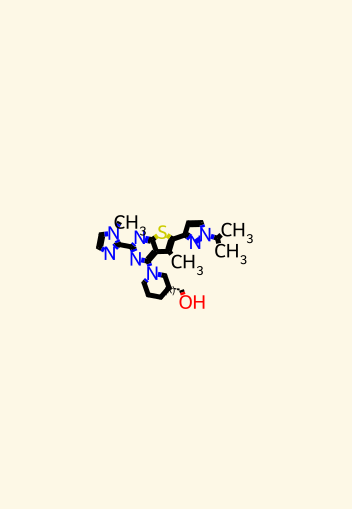 Cc1c(-c2ccn(C(C)C)n2)sc2nc(-c3nccn3C)nc(N3CCC[C@@H](CO)C3)c12